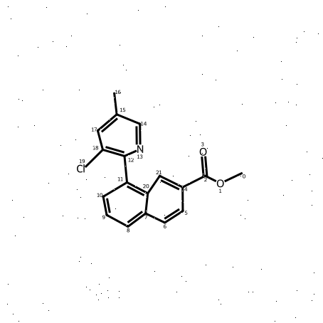 COC(=O)c1ccc2cccc(-c3ncc(C)cc3Cl)c2c1